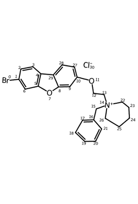 Brc1ccc2c(c1)oc1cc(OCC[N+]3(Cc4ccccc4)CCCCC3)ccc12.[Cl-]